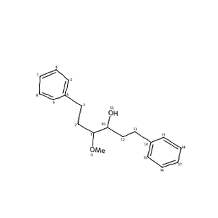 COC(CCc1ccccc1)C(O)CCc1ccccc1